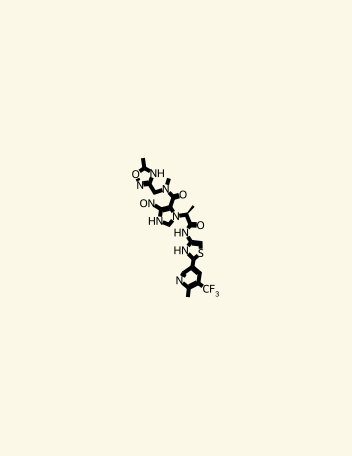 Cc1ncc(C2NC(NC(=O)[C@H](C)N3CNC(N=O)=C3C(=O)N(C)CC3=NOC(C)N3)=CS2)cc1C(F)(F)F